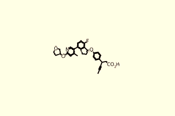 CC#CC(CC(=O)O)c1ccc(O[C@@H]2CCc3c(-c4cnc(OC5CCOC5)cc4C)ccc(F)c32)cc1